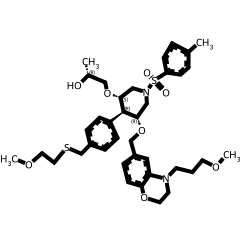 COCCCN1CCOc2ccc(CO[C@H]3CN(S(=O)(=O)c4ccc(C)cc4)C[C@@H](OC[C@@H](C)O)[C@@H]3c3ccc(CSCCOC)cc3)cc21